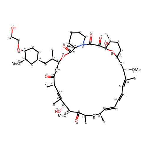 CO[C@H]1C[C@@H]2CC[C@@H](C)[C@@](O)(O2)C(=O)C(=O)N2CCCC[C@@H]2C(=O)O[C@H]([C@H](C)C[C@@H]2CC[C@@H](OCCO)[C@H](OC)C2)CC(=O)[C@H](C)/C=C(\C)[C@@H](O)[C@@H](OC)C(=O)[C@H](C)C[C@H](C)/C=C/C=C/C=C/1C